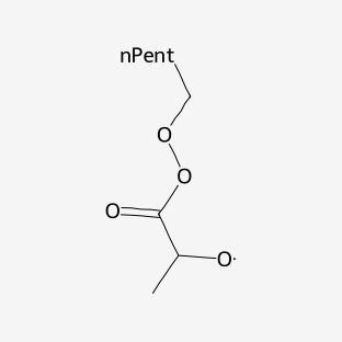 CCCCCCOOC(=O)C(C)[O]